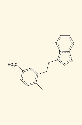 Cc1ccc(C(=O)O)cc1CCc1cnc2cccnn12